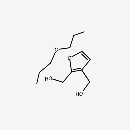 CCCOCCC.OCc1ccoc1CO